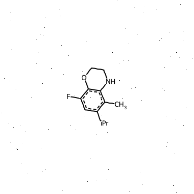 Cc1c(C(C)C)cc(F)c2c1NCCO2